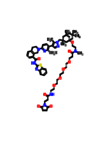 Cc1c(-c2ccc(N3CCc4cccc(C(=O)Nc5nc6ccccc6s5)c4C3)nc2C(=O)O)cnn1CC1(C)CC2(C)CC(C)(C)CC(OCCN(C)C(=O)CCOCCOCCOCCOCCNC(=O)CCN3C(=O)C=CC3=O)(C1)C2